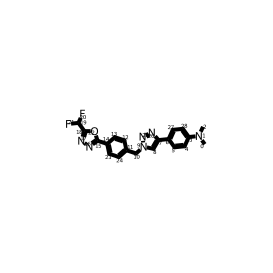 CN(C)c1ccc(-c2cn(Cc3ccc(-c4nnc(C(F)F)o4)cc3)nn2)cc1